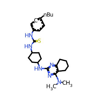 CCCCc1ccc(NC(=S)NC2CCC(Nc3nc4c(c(N(C)C)n3)CCCC4)CC2)cc1